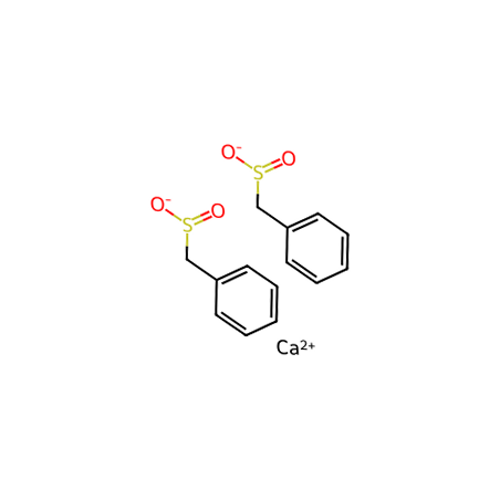 O=S([O-])Cc1ccccc1.O=S([O-])Cc1ccccc1.[Ca+2]